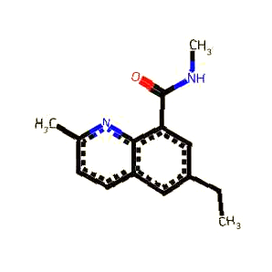 CCc1cc(C(=O)NC)c2nc(C)ccc2c1